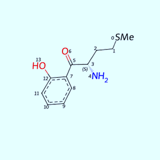 CSCC[C@H](N)C(=O)c1ccccc1O